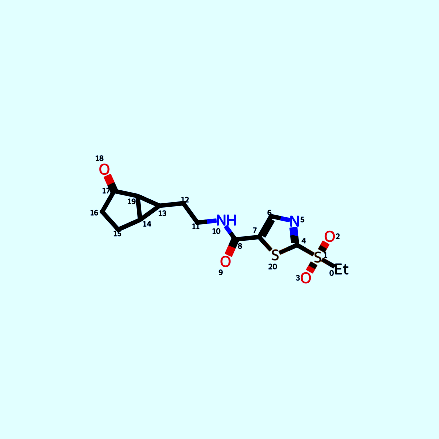 CCS(=O)(=O)c1ncc(C(=O)NCCC2C3CCC(=O)C23)s1